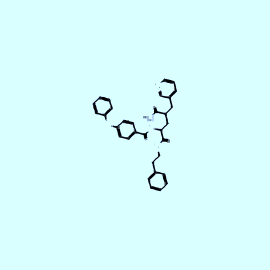 O=C(NC(CC(Cc1cccnc1)C(=O)NO)C(=O)NCCc1ccccc1)c1ccc(Oc2ccccc2)cc1